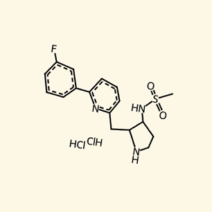 CS(=O)(=O)NC1CCNC1Cc1cccc(-c2cccc(F)c2)n1.Cl.Cl